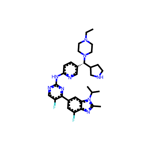 CCN1CCN([C@@H](c2ccc(Nc3ncc(F)c(-c4cc(F)c5nc(C)n(C(C)C)c5c4)n3)nc2)C2CCNC2)CC1